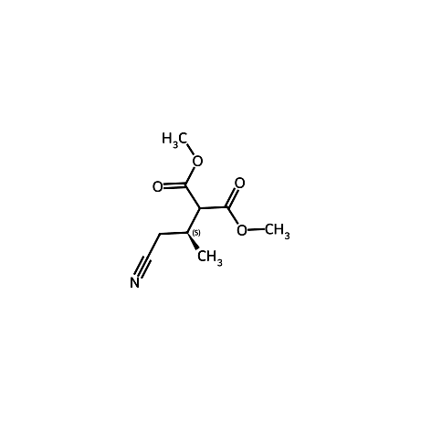 COC(=O)C(C(=O)OC)[C@@H](C)CC#N